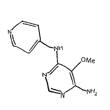 COc1c(N)ncnc1Nc1ccncc1